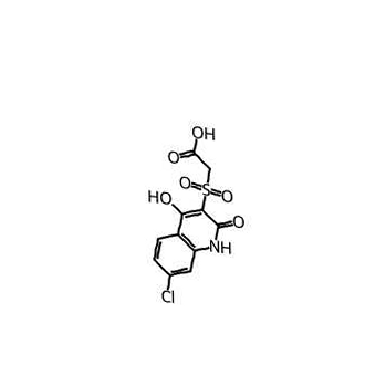 O=C(O)CS(=O)(=O)c1c(O)c2ccc(Cl)cc2[nH]c1=O